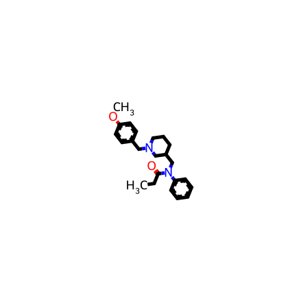 CCC(=O)N(CC1CCCN(Cc2ccc(OC)cc2)C1)c1ccccc1